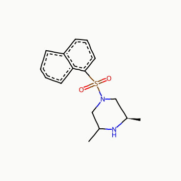 CC1CN(S(=O)(=O)c2cccc3ccccc23)C[C@@H](C)N1